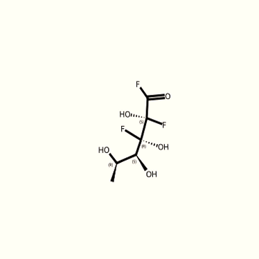 C[C@@H](O)[C@H](O)[C@@](O)(F)[C@](O)(F)C(=O)F